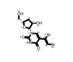 O=c1[nH]c(=O)n([C@@H]2O[C@H](CO)C[C@H]2O)cc1C(Br)=CBr